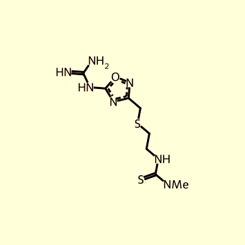 CNC(=S)NCCSCc1noc(NC(=N)N)n1